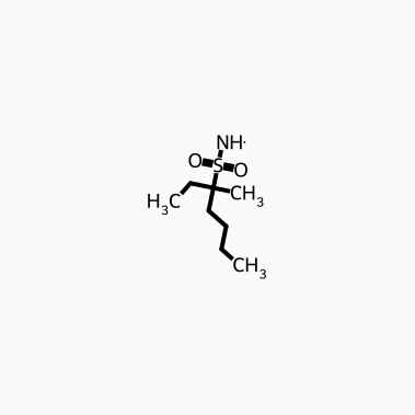 CCCCC(C)(CC)S([NH])(=O)=O